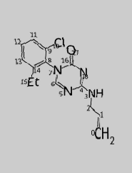 C=CCNc1ncn(-c2c(Cl)cccc2CC)c(=O)n1